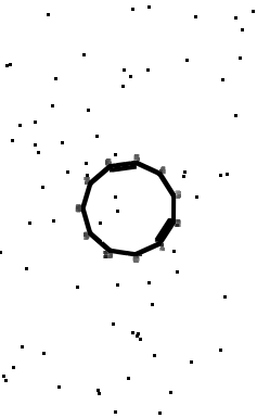 [CH]1C=CCCC=CCCCC1